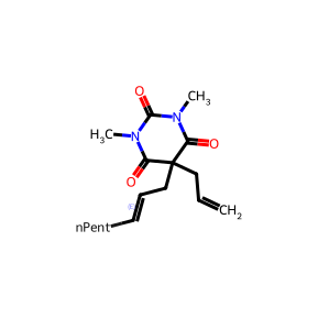 C=CCC1(C/C=C/CCCCC)C(=O)N(C)C(=O)N(C)C1=O